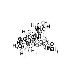 C=C(OC)/C(=C\C=C\CC[C@H](NC(=O)[C@H](CC(C)C)N(C)C(=O)C(NC(=O)[C@H](CC(C)C)NC(=O)[C@H](C)N(C)C(=O)[C@H](CC(C)C)NC=O)[C@@H](C)CC)C(=O)N[C@H](C)C(C)O)C(=O)NC